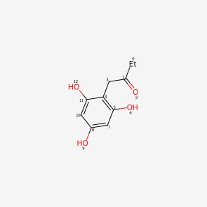 CCC(=O)Cc1c(O)cc(O)cc1O